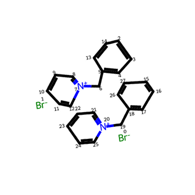 [Br-].[Br-].c1ccc(C[n+]2ccccc2)cc1.c1ccc(C[n+]2ccccc2)cc1